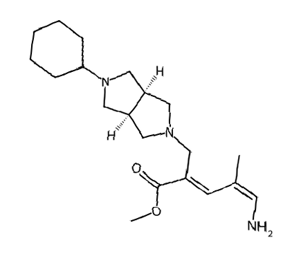 COC(=O)/C(=C/C(C)=C\N)CN1C[C@@H]2CN(C3CCCCC3)C[C@@H]2C1